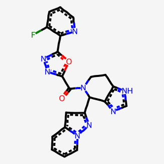 O=C(c1nnc(-c2ncccc2F)o1)N1CCc2[nH]cnc2C1c1cc2ccccn2n1